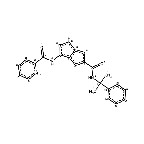 CC(C)(NC(=O)c1cc2c(NC(=O)c3ccccn3)n[nH]c2s1)c1ccccc1